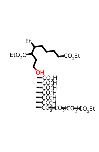 CC(=O)O.CC(=O)O.CC(=O)O.CC(=O)O.CC(=O)O.CC(=O)O.CC(=O)O.CC(=O)O.CC(=O)O.CCOC(=O)CCCCC(CC)C(CCO)C(=O)OCC.CCOC(C)=O